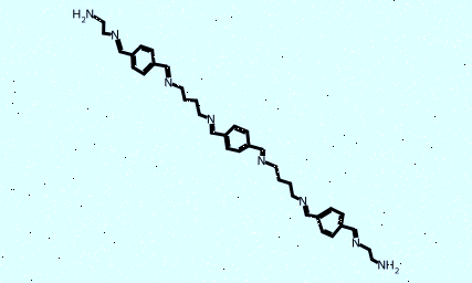 NCC/N=C/c1ccc(/C=N/CCCC/N=C/c2ccc(/C=N/CCCC/N=C/c3ccc(/C=N/CCN)cc3)cc2)cc1